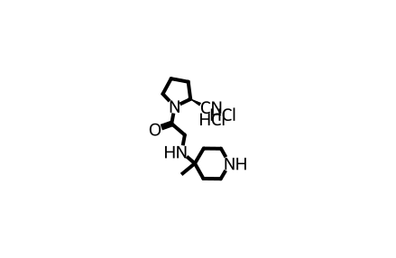 CC1(NCC(=O)N2CCC[C@H]2C#N)CCNCC1.Cl.Cl